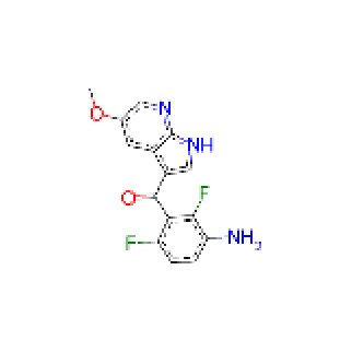 COc1cnc2[nH]cc(C(=O)c3c(F)ccc(N)c3F)c2c1